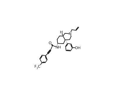 C=CCN1CC[C@@]2(c3cccc(O)c3)C[C@H](NC(=O)C#Cc3ccc(C(F)(F)F)cc3)CC[C@@H]2C1